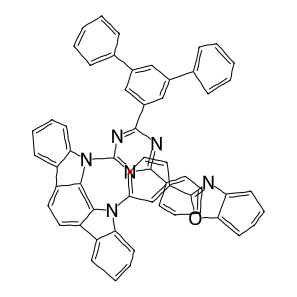 c1ccc(-c2cc(-c3ccccc3)cc(-c3nc(-c4ccccc4)nc(-n4c5ccccc5c5ccc6c7ccccc7n(-c7cccc(-c8nc9ccccc9o8)c7)c6c54)n3)c2)cc1